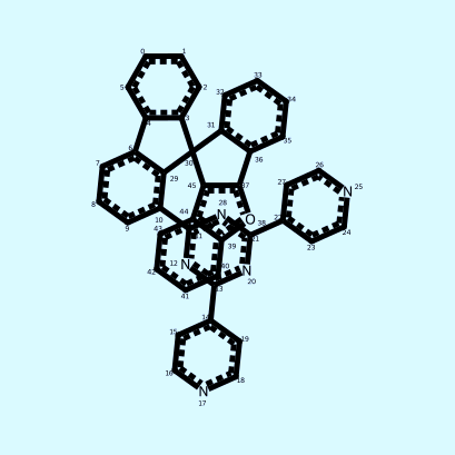 c1ccc2c(c1)-c1cccc(-c3nc(-c4ccncc4)nc(-c4ccncc4)n3)c1C21c2ccccc2-c2oc3ccccc3c21